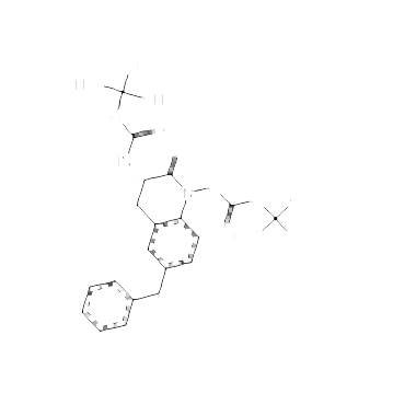 CC(C)(C)OC(=O)N[C@H]1Cc2cc(Cc3ccccc3)ccc2N(OC(=O)OC(C)(C)C)C1=O